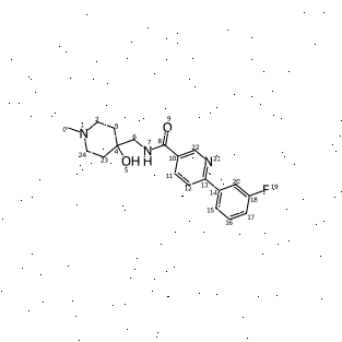 CN1CCC(O)(CNC(=O)c2ccc(-c3cccc(F)c3)nc2)CC1